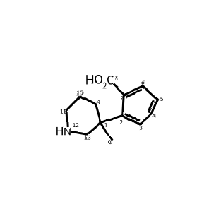 CC1(c2ccccc2C(=O)O)CCCNC1